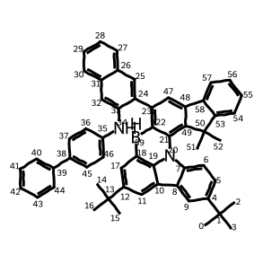 CC(C)(C)c1ccc2c(c1)c1cc(C(C)(C)C)cc3c1n2-c1c(c(-c2cc4ccccc4cc2Nc2ccc(-c4ccccc4)cc2)cc2c1C(C)(C)c1ccccc1-2)B3